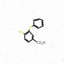 O=C(O)c1ccc(S)c(Sc2ccccc2)c1